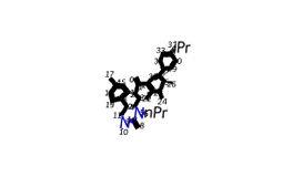 C=C(CCCN(CCC)C(=C)N(C)CCc1ccc(C)cc1)C1=C(C)C(C)[C@H](C)C(C2C=CC(C(C)C)=CC2)=C1